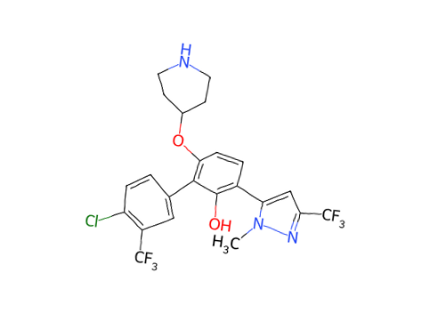 Cn1nc(C(F)(F)F)cc1-c1ccc(OC2CCNCC2)c(-c2ccc(Cl)c(C(F)(F)F)c2)c1O